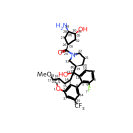 CCOc1cc(-c2c(F)cccc2[C@](O)(CCCCOC)[C@@H]2CCCN(C(=O)[C@H]3C[C@@H](N)[C@@H](O)C3)C2)cc(C(F)(F)F)c1